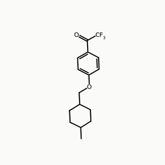 CC1CCC(COc2ccc(C(=O)C(F)(F)F)cc2)CC1